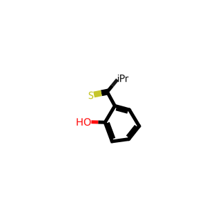 CC(C)C(=S)c1ccccc1O